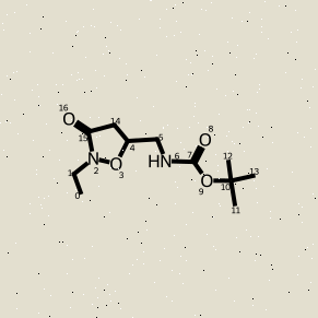 CCN1OC(CNC(=O)OC(C)(C)C)CC1=O